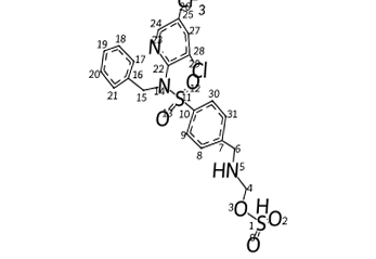 O=[SH](=O)OCNCc1ccc(S(=O)(=O)N(Cc2ccccc2)c2ncc(C(F)(F)F)cc2Cl)cc1